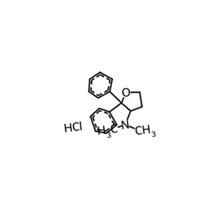 CN(C)C1CCOC1(c1ccccc1)c1ccccc1.Cl